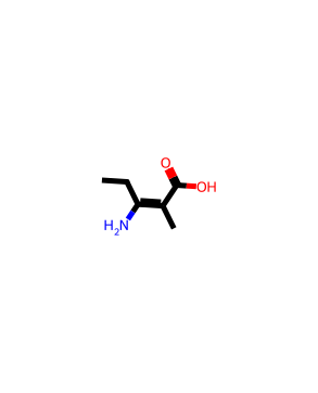 CC/C(N)=C(/C)C(=O)O